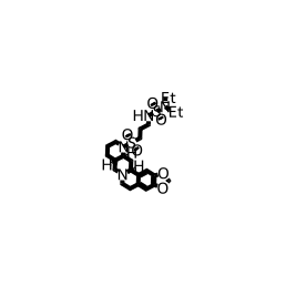 CCN(CC)S(=O)(=O)NCCCS(=O)(=O)N1CCC[C@@H]2CN3CCc4cc5c(cc4[C@@H]3C[C@@H]21)OCO5